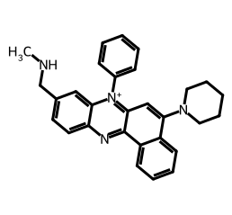 CNCc1ccc2nc3c4ccccc4c(N4CCCCC4)cc3[n+](-c3ccccc3)c2c1